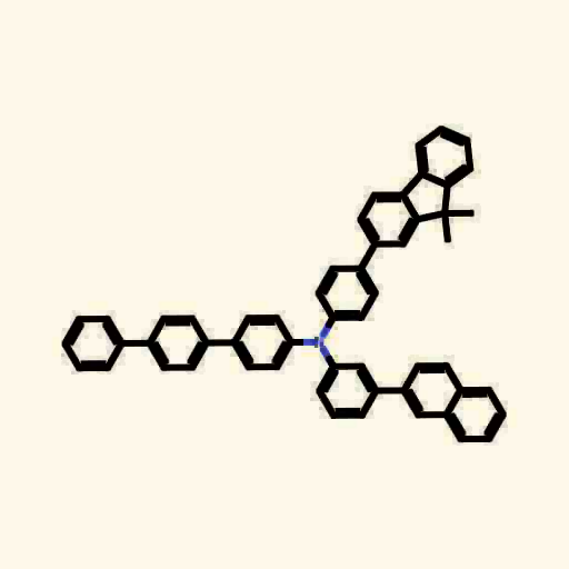 CC1(C)c2ccccc2-c2ccc(-c3ccc(N(c4ccc(-c5ccc(-c6ccccc6)cc5)cc4)c4cccc(-c5ccc6ccccc6c5)c4)cc3)cc21